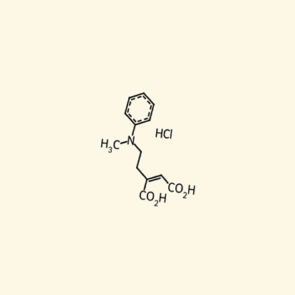 CN(CCC(=CC(=O)O)C(=O)O)c1ccccc1.Cl